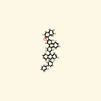 c1ccc(-c2cccc(-c3c4ccccc4c(-c4ccc5c(c4)c4ccccc4c4cc6c(cc54)oc4ccc5ccccc5c46)c4ccccc34)c2)cc1